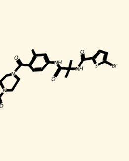 CC(=O)N1CCN(C(=O)c2ccc(NC(=O)C(C)(C)NC(=O)c3ccc(Br)s3)cc2C)CC1